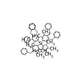 CC1=C(C)C(C)C([Si](c2cc(Cc3ccccc3)c(Cc3ccccc3)c(C)c2C)(c2cc(Cc3ccccc3)c(Cc3ccccc3)c(C)c2C)c2cc(Cc3ccccc3)c(Cc3ccccc3)c(C)c2C)=C1C